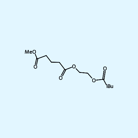 CCC(C)C(=O)OCCOC(=O)CCCC(=O)OC